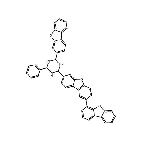 c1ccc(C2NC(c3ccc4c(c3)oc3ccc(-c5cccc6c5oc5ccccc56)cc34)NC(c3ccc4c(c3)sc3ccccc34)N2)cc1